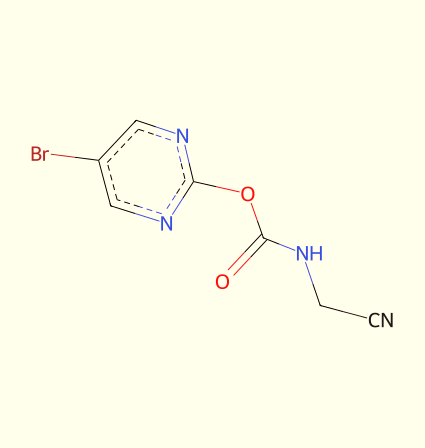 N#CCNC(=O)Oc1ncc(Br)cn1